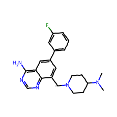 CN(C)C1CCN([C]c2cc(-c3cccc(F)c3)cc3c(N)ncnc23)CC1